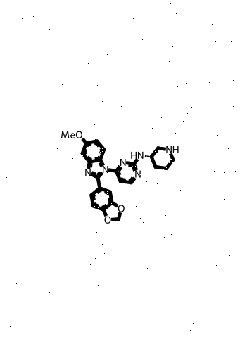 COc1ccc2c(c1)nc(-c1ccc3c(c1)OCO3)n2-c1ccnc(N[C@H]2CCCNC2)n1